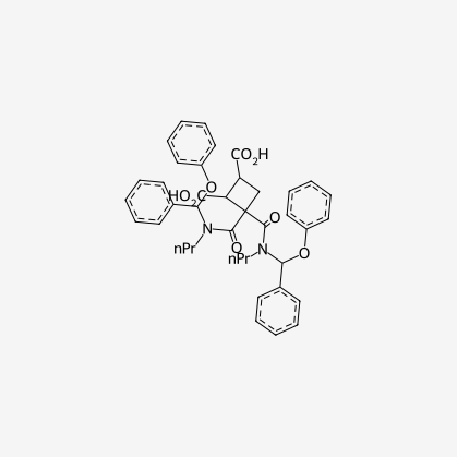 CCCN(C(=O)C1(C(=O)N(CCC)C(Oc2ccccc2)c2ccccc2)CC(C(=O)O)C1C(=O)O)C(Oc1ccccc1)c1ccccc1